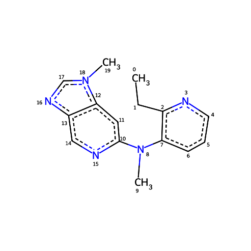 CCc1ncccc1N(C)c1cc2c(cn1)ncn2C